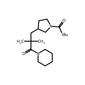 CC(C)(C)C(=O)N1CCC(CC(C)(C)C(=O)N2CCCCC2)C1